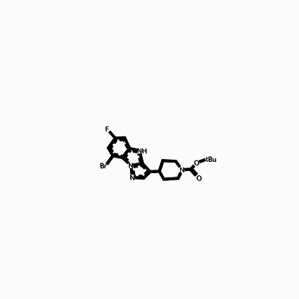 CC(C)(C)OC(=O)N1CCC(c2cnn3c2[nH]c2cc(F)cc(Br)c23)CC1